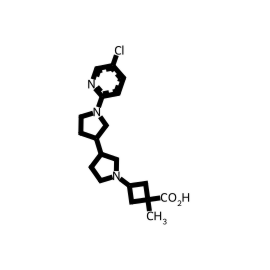 CC1(C(=O)O)CC(N2CCC(C3CCN(c4ccc(Cl)cn4)C3)C2)C1